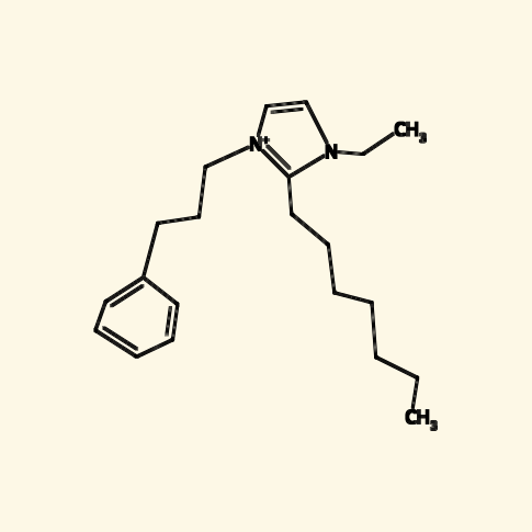 CCCCCCCc1n(CC)cc[n+]1CCCc1ccccc1